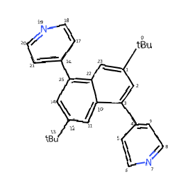 CC(C)(C)c1cc(-c2ccncc2)c2cc(C(C)(C)C)cc(-c3ccncc3)c2c1